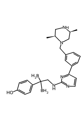 BC(B)(CNc1nccc(-c2cccc(CN3C[C@H](C)NC[C@@H]3C)c2)n1)c1ccc(O)cc1